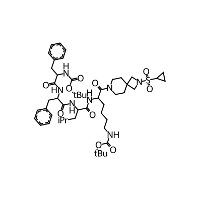 CC(C)CC(NC(=O)C(Cc1ccccc1)NC(=O)C(Cc1ccccc1)NC(=O)OC(C)(C)C)C(=O)NC(CCCCNC(=O)OC(C)(C)C)C(=O)N1CCC2(CC1)CN(S(=O)(=O)C1CC1)C2